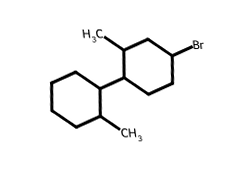 CC1CCCCC1C1CCC(Br)CC1C